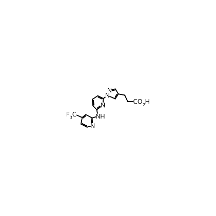 O=C(O)CCc1cnn(-c2cccc(Nc3cc(C(F)(F)F)ccn3)n2)c1